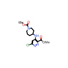 COC(=O)c1nnc(Cl)cc1NC1CCCN(C(=O)OC(C)(C)C)CC1